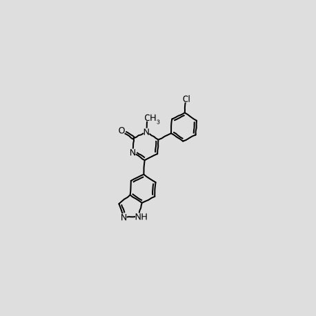 Cn1c(-c2cccc(Cl)c2)cc(-c2ccc3[nH]ncc3c2)nc1=O